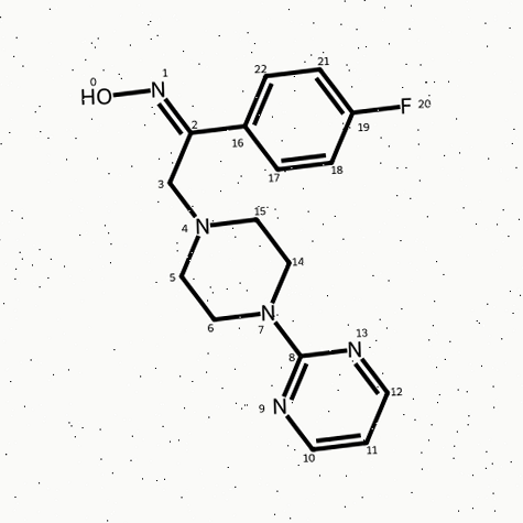 O/N=C(\CN1CCN(c2ncccn2)CC1)c1ccc(F)cc1